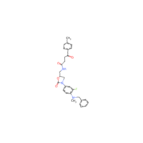 Cc1ccc(C(=O)CCC(=O)NCC2CN(c3ccc(N(C)Cc4ccccc4)c(F)c3)C(=O)O2)cc1